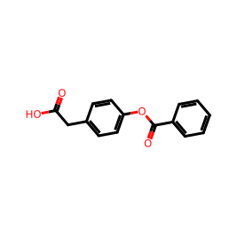 O=C(O)Cc1ccc(OC(=O)c2ccccc2)cc1